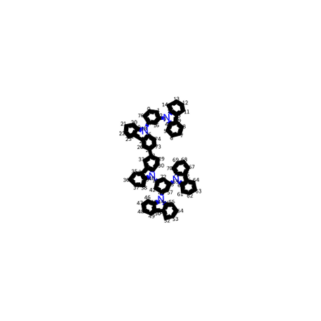 c1cc(-n2c3ccccc3c3ccccc32)cc(-n2c3ccccc3c3cc(-c4ccc5c(c4)c4ccccc4n5-c4cc(-n5c6ccccc6c6ccccc65)cc(-n5c6ccccc6c6ccccc65)c4)ccc32)c1